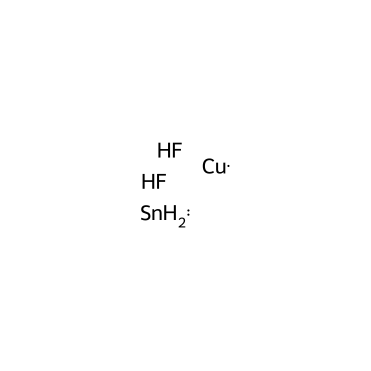 F.F.[Cu].[SnH2]